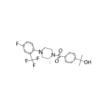 C[C@@H]1CN(c2ccc(F)cc2C(F)(F)F)CCN1S(=O)(=O)c1ccc(C(C)(C)O)cc1